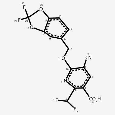 N#Cc1cc(C(=O)O)c(C(F)F)nc1OCc1ccc2c(c1)OC(F)(F)O2